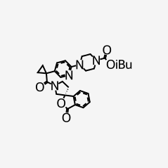 CC(C)COC(=O)N1CCN(c2ccc(C3(C(=O)N4CC[C@@]5(C4)OC(=O)c4ccccc45)CC3)cn2)CC1